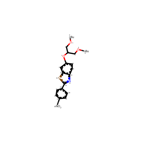 CCCCOCC(COCCCC)Oc1ccc2nc(-c3ccc([N+](=O)[O-])cc3)sc2c1